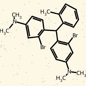 Cc1ccccc1C(c1ccc(N(C)C)cc1Br)c1ccc(N(C)C)cc1Br